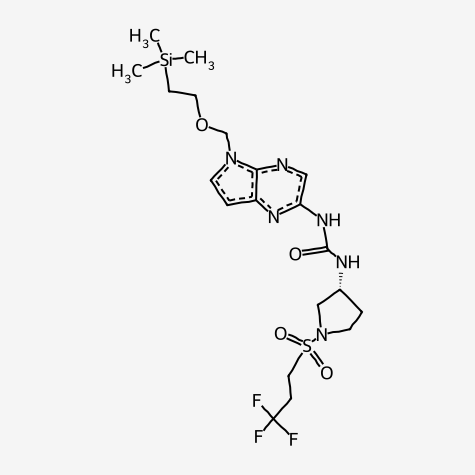 C[Si](C)(C)CCOCn1ccc2nc(NC(=O)N[C@@H]3CCN(S(=O)(=O)CCC(F)(F)F)C3)cnc21